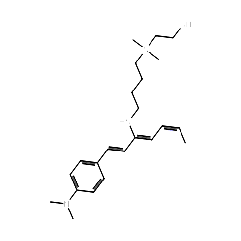 C\C=C/C=C(/C=C/c1ccc(N(C)C)cc1)NCCCC[N+](C)(C)CCS